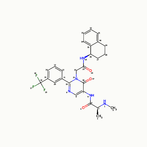 CN[C@@H](C)C(=O)Nc1cnc(-c2cccc(C(F)(F)F)c2)n(CC(=O)N[C@@H]2CCCc3ccccc32)c1=O